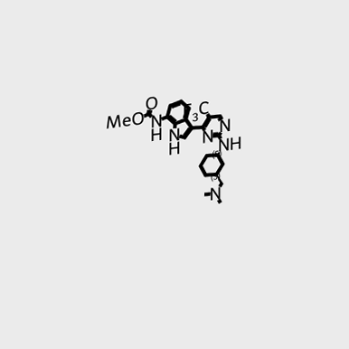 COC(=O)Nc1cccc2c(-c3nc(N[C@H]4CCC[C@H](CN(C)C)C4)ncc3C(F)(F)F)c[nH]c12